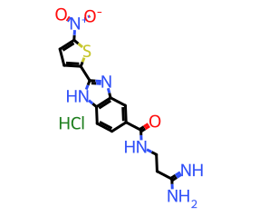 Cl.N=C(N)CCNC(=O)c1ccc2[nH]c(-c3ccc([N+](=O)[O-])s3)nc2c1